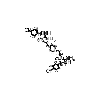 CCN(C(=O)N(CCCN1CCN(CCCN(C(=N)N)C(=O)N(CC)c2ccc(Cl)cc2)CC1)C(=N)N)c1ccc(Cl)cc1